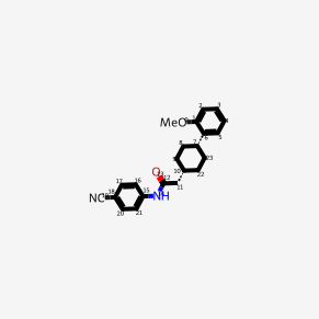 COc1ccccc1[C@H]1CC[C@@H](CC(=O)Nc2ccc(C#N)cc2)CC1